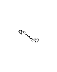 Ic1ccccc1OCCCCCCOC1CCCCO1